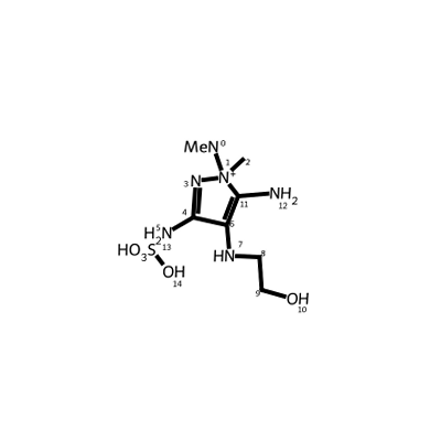 CN[N+]1(C)N=C(N)C(NCCO)=C1N.O=S(=O)(O)O